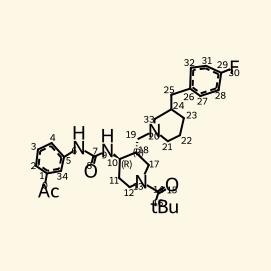 CC(=O)c1cccc(NC(=O)N[C@@H]2CCN(C(=O)C(C)(C)C)C[C@H]2CN2CCCC(Cc3ccc(F)cc3)C2)c1